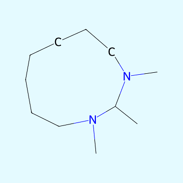 CC1N(C)CCCCCCCN1C